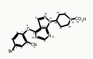 N#Cc1cc(Br)ccc1Oc1ncnc2c1cnn2C1CCN(C(=O)O)CC1